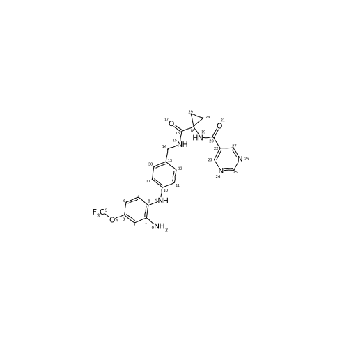 Nc1cc(OC(F)(F)F)ccc1Nc1ccc(CNC(=O)C2(NC(=O)c3cncnc3)CC2)cc1